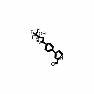 O=Cc1cc(-c2ccc(C3=NOC(O)(C(F)(F)F)C3)cc2)ccn1